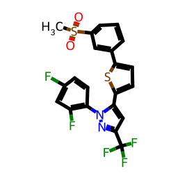 CS(=O)(=O)c1cccc(-c2ccc(-c3cc(C(F)(F)F)nn3-c3ccc(F)cc3F)s2)c1